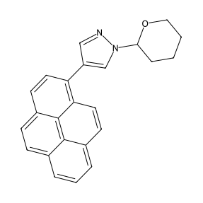 c1cc2ccc3ccc(-c4cnn(C5CCCCO5)c4)c4ccc(c1)c2c34